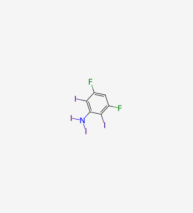 Fc1cc(F)c(I)c(N(I)I)c1I